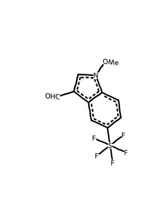 COn1cc(C=O)c2cc(S(F)(F)(F)(F)F)ccc21